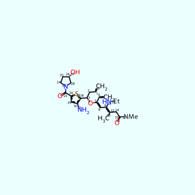 C=CCC(O/C(C=C)=C/C(NCC)=C(\C)CC(=O)NC)c1sc(C(=O)N2CC[C@@H](O)C2)cc1N